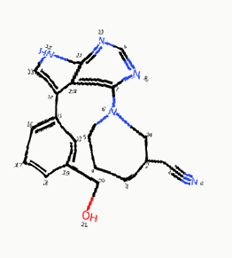 N#CC1CCCN(c2ncnc3[nH]cc(-c4cccc(CO)c4)c23)C1